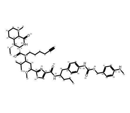 C#CCCCCN(C(=O)[C@H]1NC(=O)C2C(CCCN2C)[C@H]1CC)C(CC(OC)c1nc(C(=O)NC(CCC)Cc2ccc(NC(=O)OCc3ccc(NC)cc3)cc2)cs1)C(C)C